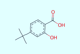 CC(C)(C)c1ccc(C(=O)O)c(O)c1